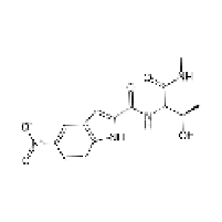 CNC(=O)[C@@H](NC(=O)c1cc2cc([N+](=O)[O-])ccc2[nH]1)[C@@H](C)O